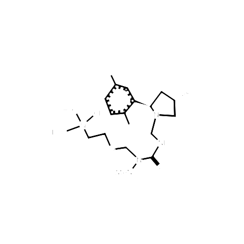 C=C(NCN1C[C@@H](F)C[C@@H]1c1cc(F)ccc1F)N(COCC[Si](C)(C)C)NC